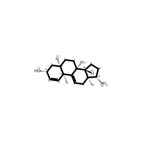 C[C@]12CC=C3[C@@H](CC[C@@H]4C[C@@H](O)C=C[C@]34C)[C@@H]1CC[C@@H]2N